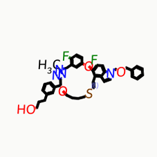 Cn1nc2nc1-c1cc(ccc1F)Oc1c(F)cc3c(ccn3COCc3ccccc3)c1/C=C/SCCCCOC2c1cccc(CCCO)c1